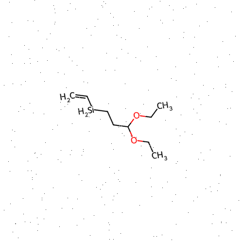 C=C[SiH2]CCC(OCC)OCC